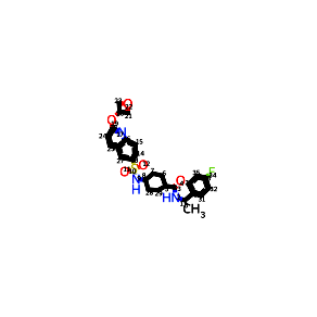 C[C@@H](NC(=O)C1CCC(NS(=O)(=O)c2ccc3nc(OC4COC4)ccc3c2)CC1)c1ccc(F)cc1